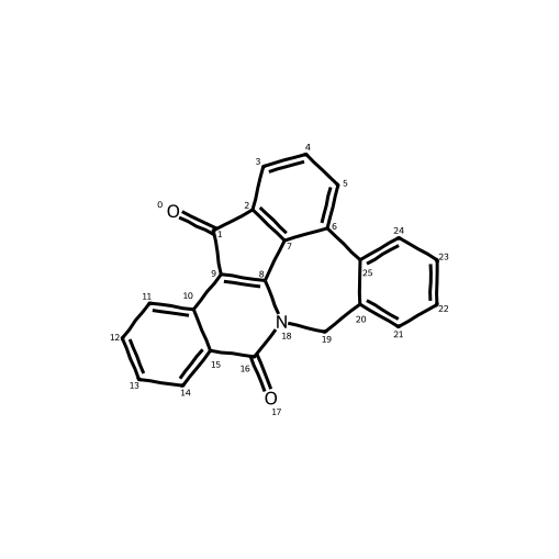 O=C1c2cccc3c2-c2c1c1ccccc1c(=O)n2Cc1ccccc1-3